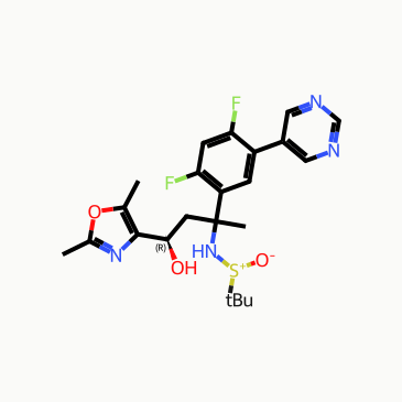 Cc1nc([C@H](O)CC(C)(N[S+]([O-])C(C)(C)C)c2cc(-c3cncnc3)c(F)cc2F)c(C)o1